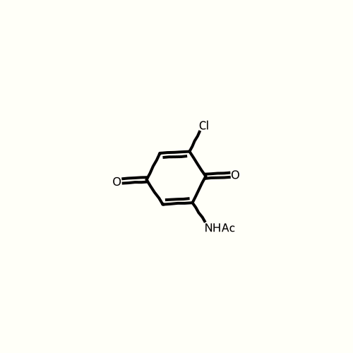 CC(=O)NC1=CC(=O)C=C(Cl)C1=O